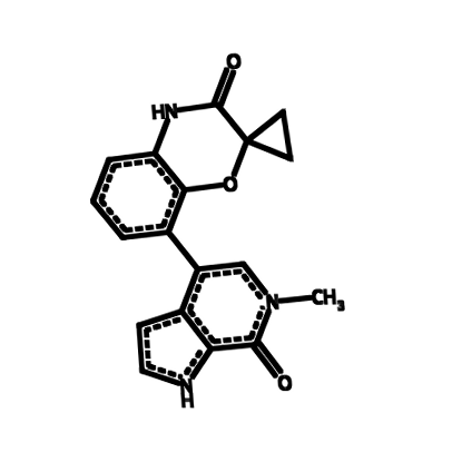 Cn1cc(-c2cccc3c2OC2(CC2)C(=O)N3)c2cc[nH]c2c1=O